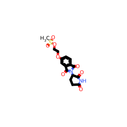 CS(=O)(=O)OCCOc1ccc2c(c1)C(=O)N(C1CCC(=O)NC1=O)C2=O